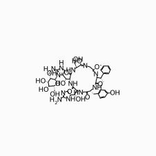 C[C@@H](c1ccccc1)[C@@H]1N=C([O-])CN=C(O)[C@H](CO)NC(=O)[C@@H]([C@H](O)[C@@H]2CNC(N)=[N+]2[C@H]2O[C@H](CO)[C@@H](O)[C@H](O)[C@@H]2O)NC(=O)[C@H]([C@H](O)[C@@H]2CN=C(N)N2)NC(=O)[C@@H](Cc2ccc(O)cc2)NC1=O